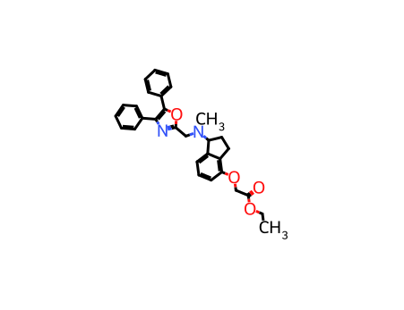 CCOC(=O)COc1cccc2c1CCC2N(C)Cc1nc(-c2ccccc2)c(-c2ccccc2)o1